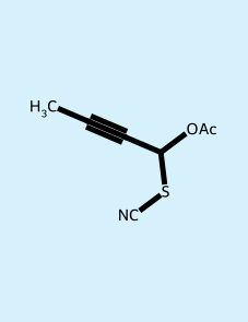 CC#CC(OC(C)=O)SC#N